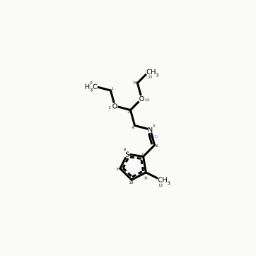 CCOC(C/N=C\c1sccc1C)OCC